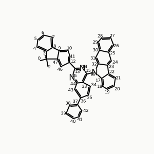 CC1(C)c2ccccc2-c2ccc(-c3nc(-n4c5ccccc5c5cc6ccccc6cc54)c4ccc(-c5ccccc5)cc4n3)cc21